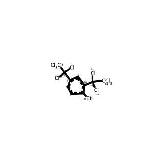 C[CH]c1ccc(C(Cl)(Cl)C(Cl)(Cl)Cl)cc1C(Cl)(Cl)C(Cl)(Cl)Cl